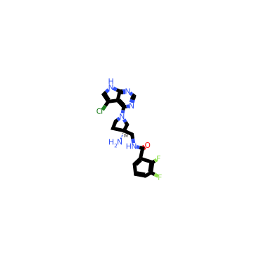 N[C@]1(CNC(=O)c2cccc(F)c2F)CCN(c2ncnc3[nH]cc(Cl)c23)C1